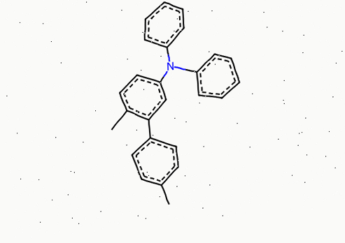 Cc1ccc(-c2cc(N(c3ccccc3)c3ccccc3)ccc2C)cc1